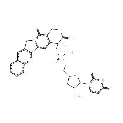 CC[C@@]1(OP(=O)(O)OC[C@H]2O[C@@H](n3ccc(=O)[nH]c3=O)[C@H](OC(C)=O)[C@@H]2C)C(=O)OCc2c1cc1n(c2=O)Cc2cc3ccccc3nc2-1